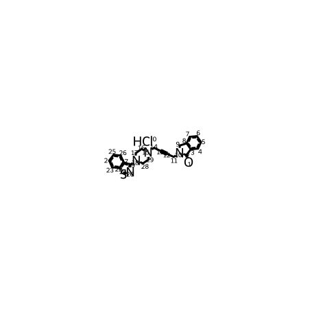 Cl.O=C1c2ccccc2CN1CC#CCN1CCN(c2nsc3ccccc23)CC1